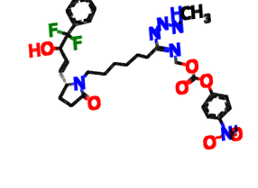 CN/N=N\C(CCCCCCN1C(=O)CC[C@@H]1/C=C/[C@@H](O)C(F)(F)c1ccccc1)=N\COC(=O)Oc1ccc([N+](=O)[O-])cc1